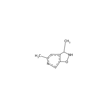 Cc1cc2c(cn1)ONC2C